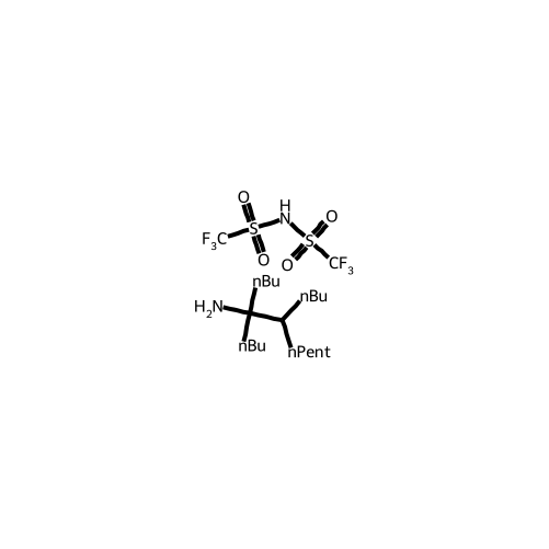 CCCCCC(CCCC)C(N)(CCCC)CCCC.O=S(=O)(NS(=O)(=O)C(F)(F)F)C(F)(F)F